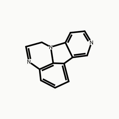 C1=Nc2cccc3c4cnccc4n(c23)C1